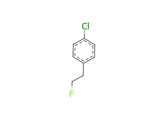 FCCc1ccc(Cl)cc1